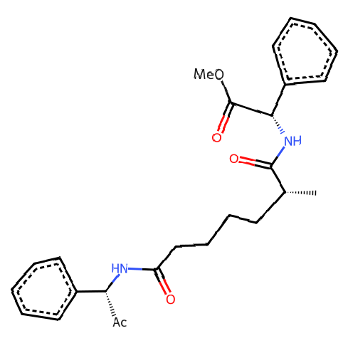 COC(=O)[C@@H](NC(=O)[C@H](C)CCCCC(=O)N[C@H](C(C)=O)c1ccccc1)c1ccccc1